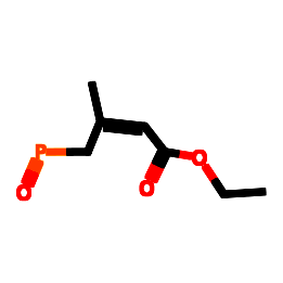 CCOC(=O)C=C(C)CP=O